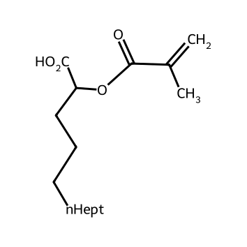 C=C(C)C(=O)OC(CCCCCCCCCC)C(=O)O